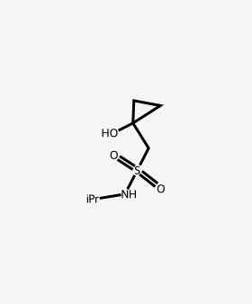 CC(C)NS(=O)(=O)CC1(O)CC1